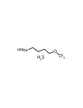 CCCCCCCCCCOC(F)(F)F.S